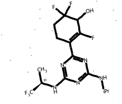 CC(C)Nc1nc(N[C@H](C)C(F)(F)F)nc(C2=C(F)C(O)C(F)(F)CC2)n1